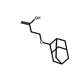 C=C(O)CCOC1C2CC3CC(C2)CC1C3